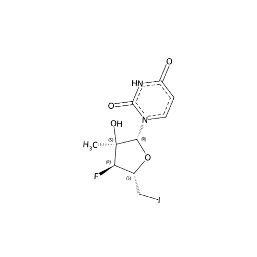 C[C@@]1(O)[C@H](F)[C@@H](CI)O[C@H]1n1ccc(=O)[nH]c1=O